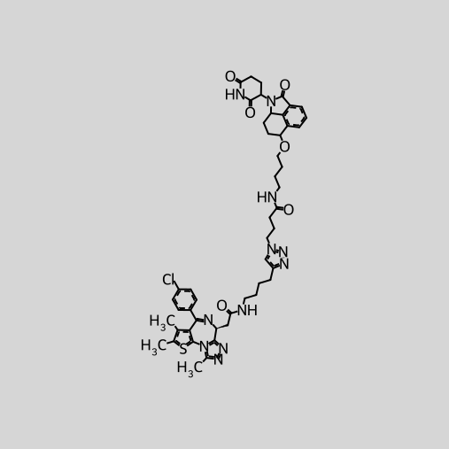 Cc1sc2c(c1C)C(c1ccc(Cl)cc1)=N[C@@H](CC(=O)NCCCCc1cn(CCCC(=O)NCCCCOC3CCC4c5c(cccc53)C(=O)N4C3CCC(=O)NC3=O)nn1)c1nnc(C)n1-2